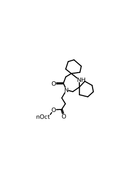 CCCCCCCCOC(=O)CCN1CC2(CCCCC2)NC2(CCCCC2)CC1=O